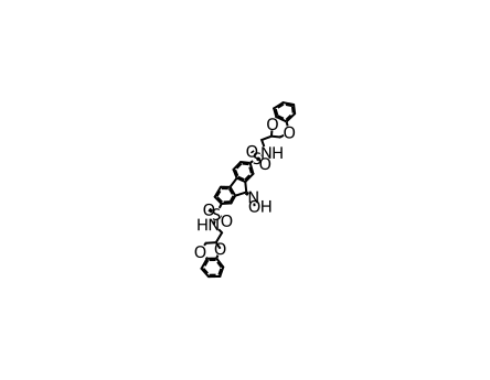 O=S(=O)(NCC1COc2ccccc2O1)c1ccc2c(c1)C(=NO)c1cc(S(=O)(=O)NCC3COc4ccccc4O3)ccc1-2